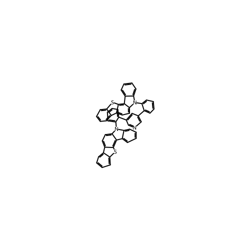 c1ccc(-n2c3ccccc3c3c4sc5ccccc5c4ccc32)c(-c2cncc(-c3ccccc3-n3c4ccccc4c4c5sc6ccccc6c5ccc43)c2)c1